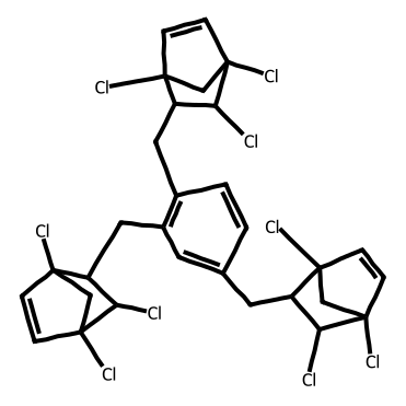 ClC1C(Cc2ccc(CC3C(Cl)C4(Cl)C=CC3(Cl)C4)c(CC3C(Cl)C4(Cl)C=CC3(Cl)C4)c2)C2(Cl)C=CC1(Cl)C2